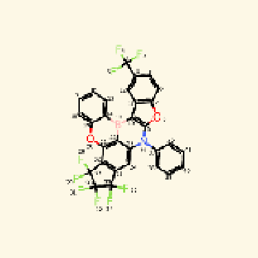 FC(F)(F)c1ccc2oc3c(c2c1)B1c2ccccc2Oc2c1c(cc1c2C(F)(F)C(F)(F)C1(F)F)N3c1ccccc1